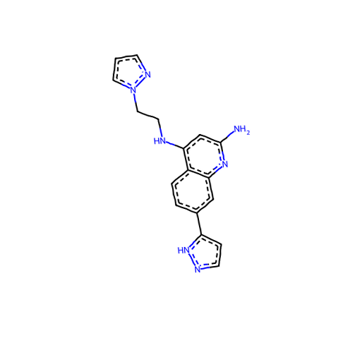 Nc1cc(NCCn2cccn2)c2ccc(-c3ccn[nH]3)cc2n1